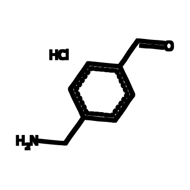 Cl.NCc1ccc(C=O)cc1